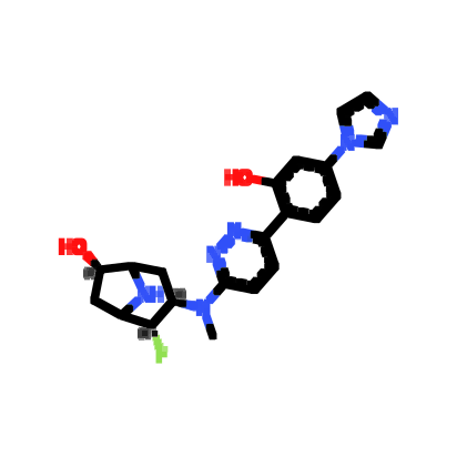 CN(c1ccc(-c2ccc(-n3ccnc3)cc2O)nn1)[C@@H]1CC2NC(C[C@H]2O)[C@H]1F